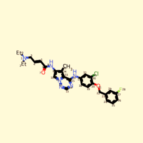 CCN(CC)C/C=C/C(=O)Nc1cn2ncnc(Nc3ccc(OCc4cccc(F)c4)c(Cl)c3)c2c1C